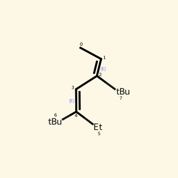 C/C=C(\C=C(/CC)C(C)(C)C)C(C)(C)C